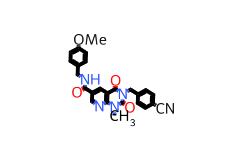 COc1ccc(CNC(=O)c2cnc3c(c2)c(=O)n(Cc2ccc(C#N)cc2)c(=O)n3C)cc1